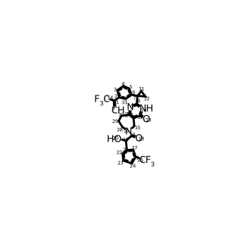 C=C(c1cccc(C2(c3nc4c(c(=O)[nH]3)CN(C(=O)C(O)c3cccc(C(F)(F)F)c3)CCC4)CC2)c1)C(F)(F)F